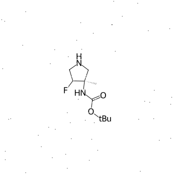 CC(C)(C)OC(=O)N[C@]1(C)CNCC1F